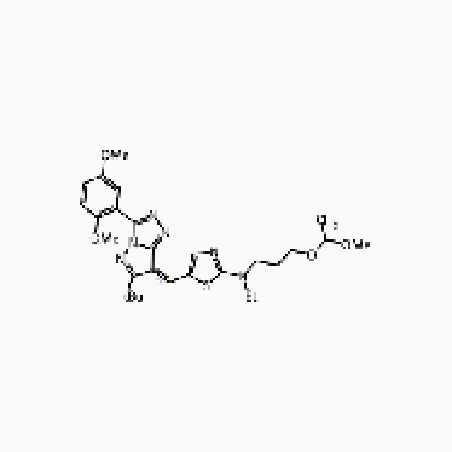 CCN(CCCOC(C)OC)c1ncc(/C=c2/c(C(C)(C)C)nn3c(-c4cc(OC)ccc4OC)nnc23)s1